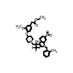 CCOC(=O)Cc1ccc(OC2CCN(CC(O)(c3cn(Cc4ccccc4C)c4cc([N+](=O)[O-])ccc34)C(F)(F)F)CC2)c(OC)c1